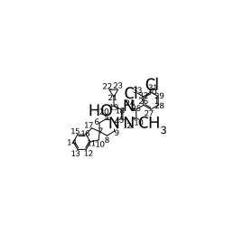 Cc1nc(N2CCC3(CC2)Cc2ccccc2C3)c(C(O)C2CC2)nc1-c1cccc(Cl)c1Cl